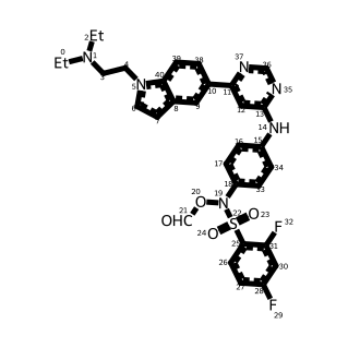 CCN(CC)CCn1ccc2cc(-c3cc(Nc4ccc(N(OC=O)S(=O)(=O)c5ccc(F)cc5F)cc4)ncn3)ccc21